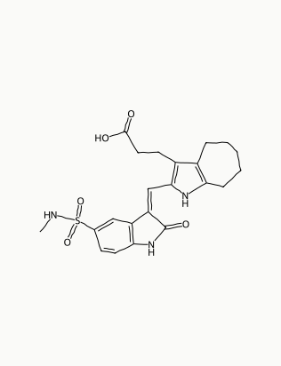 CNS(=O)(=O)c1ccc2c(c1)/C(=C/c1[nH]c3c(c1CCC(=O)O)CCCCC3)C(=O)N2